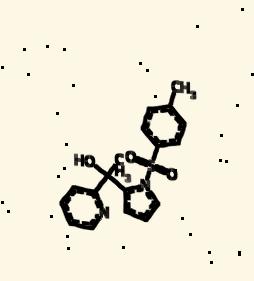 Cc1ccc(S(=O)(=O)n2cccc2C(C)(O)c2ccccn2)cc1